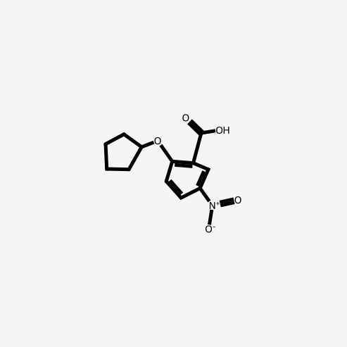 O=C(O)c1cc([N+](=O)[O-])ccc1OC1CCCC1